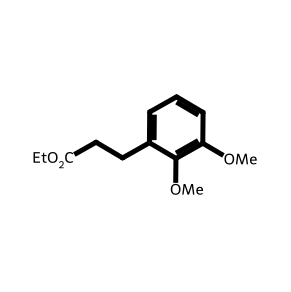 CCOC(=O)CCc1cccc(OC)c1OC